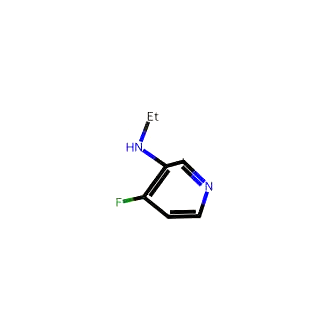 CCNc1[c]nccc1F